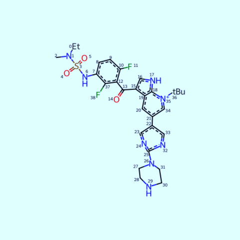 CCN(C)S(=O)(=O)Nc1ccc(F)c(C(=O)c2c[nH]c3c2cc(-c2cnc(N4CCNCC4)nc2)c[n+]3C(C)(C)C)c1F